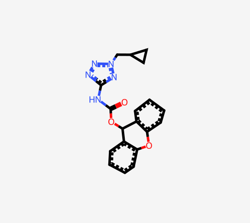 O=C(Nc1nnn(CC2CC2)n1)OC1c2ccccc2Oc2ccccc21